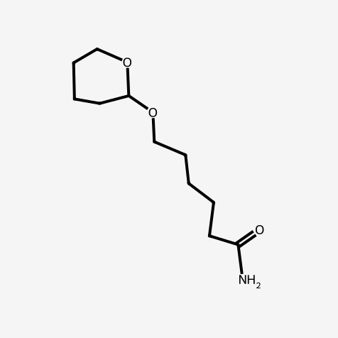 NC(=O)CCCCCOC1CCCCO1